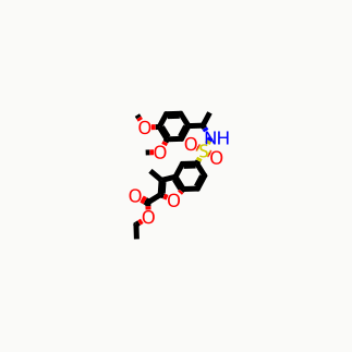 CCOC(=O)c1oc2ccc(S(=O)(=O)NC(C)c3ccc(OC)c(OC)c3)cc2c1C